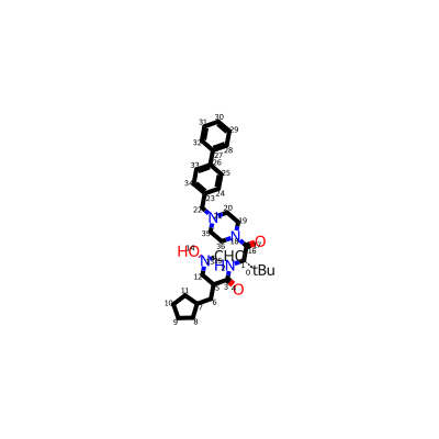 CC(C)(C)[C@H](NC(=O)C(CC1CCCC1)CN(O)C=O)C(=O)N1CCN(Cc2ccc(-c3ccccc3)cc2)CC1